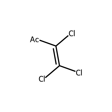 CC(=O)C(Cl)=C(Cl)Cl